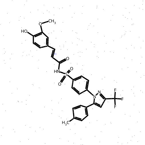 COc1cc(/C=C/C(=O)NS(=O)(=O)c2ccc(-n3nc(C(F)(F)F)cc3-c3ccc(C)cc3)cc2)ccc1O